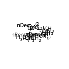 CCCCCCCCCCSCC(COC(=O)CCc1cc(C(C)(C)CCCCC)c(O)c(C(C)(C)CCCCC)c1)OC(=O)CCc1cc(C(C)(C)CCCCC)c(O)c(C(C)(C)CCCCC)c1